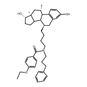 CCOc1ccc(C(=O)N(CCCC[C@@H]2Cc3cc(O)ccc3C3C2C2CC[C@H](O)[C@@]2(C)C[C@@H]3F)CCCc2ccccc2)cc1